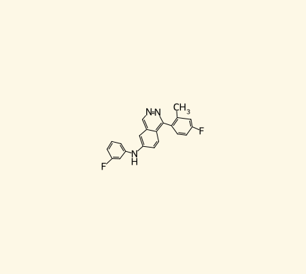 Cc1cc(F)ccc1-c1nncc2cc(Nc3cccc(F)c3)ccc12